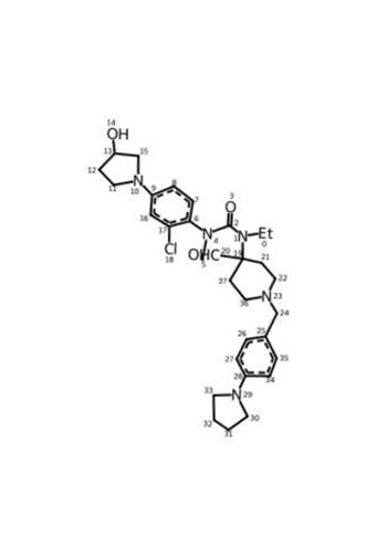 CCN(C(=O)N(C)c1ccc(N2CCC(O)C2)cc1Cl)C1(C=O)CCN(Cc2ccc(N3CCCC3)cc2)CC1